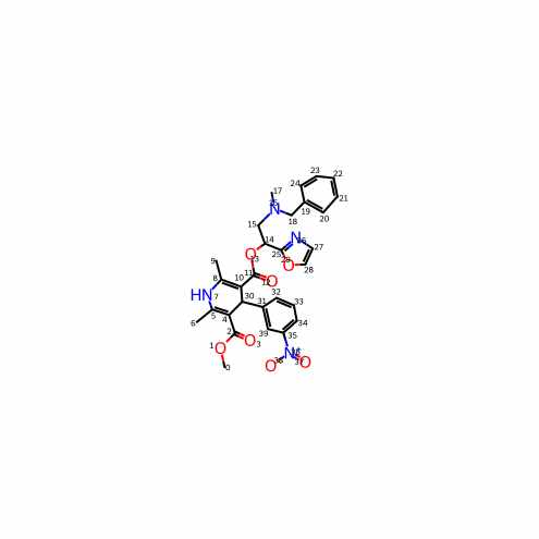 COC(=O)C1=C(C)NC(C)=C(C(=O)OC(CN(C)Cc2ccccc2)c2ncco2)C1c1cccc([N+](=O)[O-])c1